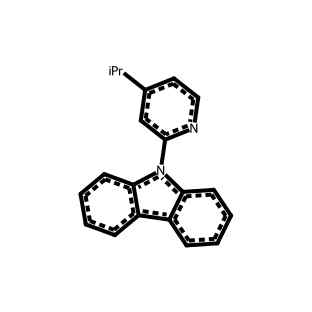 CC(C)c1ccnc(-n2c3ccccc3c3ccccc32)c1